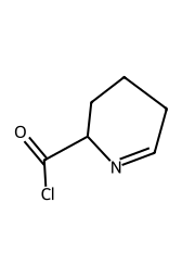 O=C(Cl)C1CCCC=N1